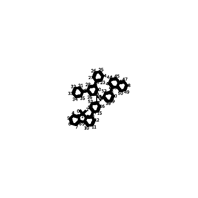 CC1(C)c2ccccc2-c2cccc(-c3ccc(N(c4cc(-c5ccccc5)cc(-c5ccccc5)c4)c4cccc(-c5cccc6ccccc56)c4)cc3)c21